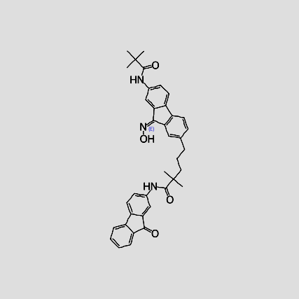 CC(C)(C)C(=O)Nc1ccc2c(c1)/C(=N/O)c1cc(CCCC(C)(C)C(=O)Nc3ccc4c(c3)C(=O)c3ccccc3-4)ccc1-2